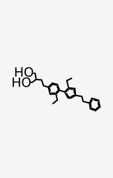 CCc1cc(CCc2ccccc2)ccc1-c1ccc(CCC(CO)CO)cc1CC